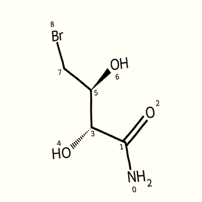 NC(=O)[C@H](O)[C@H](O)CBr